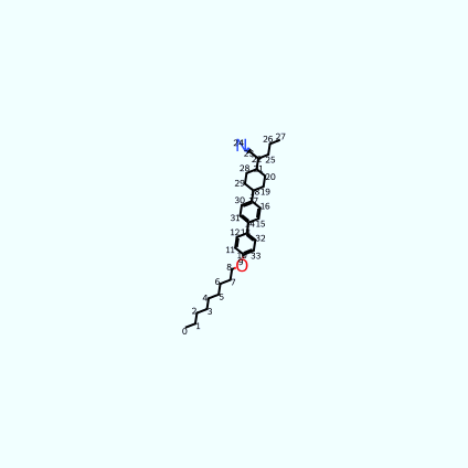 CCCCCCCCCOc1ccc(-c2ccc(C3CCC(C(C#N)CCC)CC3)cc2)cc1